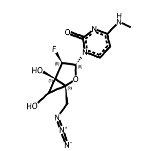 CNc1ccn([C@@H]2O[C@]3(CN=[N+]=[N-])C(O)[C@]3(O)[C@H]2F)c(=O)n1